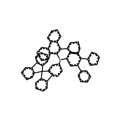 c1ccc(-c2ccc(N(c3ccc4c(c3)C3(c5ccccc5-c5ccccc53)c3ccccc3-4)c3c(-c4ccccc4)c4ccccc4c4ccccc34)cc2-c2ccccc2)cc1